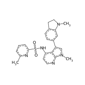 Cc1cccc(S(=O)(=O)Nc2ccnc3c2c(-c2ccc4c(c2)N(C)CC4)cn3C)n1